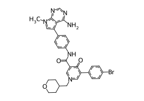 Cn1cc(-c2ccc(NC(=O)c3cn(CC4CCOCC4)cc(-c4ccc(Br)cc4)c3=O)cc2)c2c(N)ncnc21